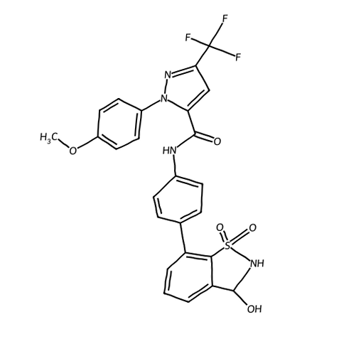 COc1ccc(-n2nc(C(F)(F)F)cc2C(=O)Nc2ccc(-c3cccc4c3S(=O)(=O)NC4O)cc2)cc1